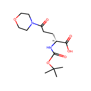 CC(C)(C)OC(=O)N[C@H](CCC(=O)N1CCOCC1)C(=O)O